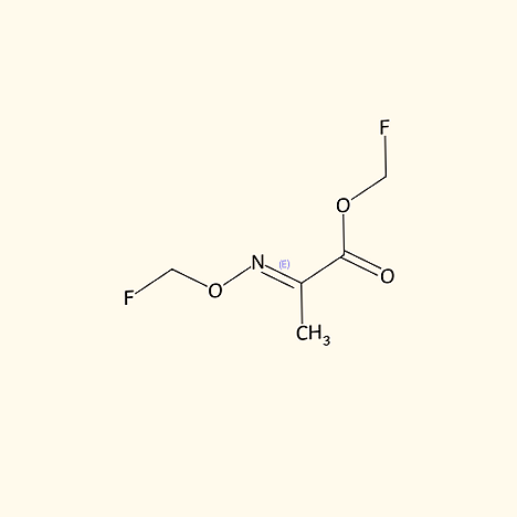 C/C(=N\OCF)C(=O)OCF